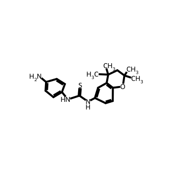 CC1(C)CC(C)(C)c2cc(NC(=S)Nc3ccc(N)cc3)ccc2O1